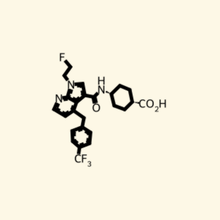 O=C(N[C@H]1CC[C@@H](C(=O)O)CC1)c1cn(CCF)c2nccc(Cc3ccc(C(F)(F)F)cc3)c12